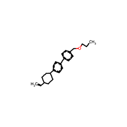 C=CC1CCC(c2ccc(-c3ccc(COCCC)cc3)cc2)CC1